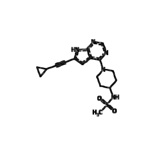 CS(=O)(=O)NC1CCN(c2ncnc3[nH]c(C#CC4CC4)cc23)CC1